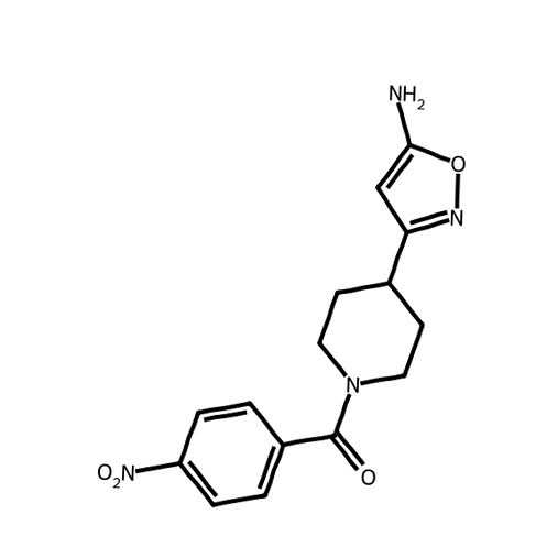 Nc1cc(C2CCN(C(=O)c3ccc([N+](=O)[O-])cc3)CC2)no1